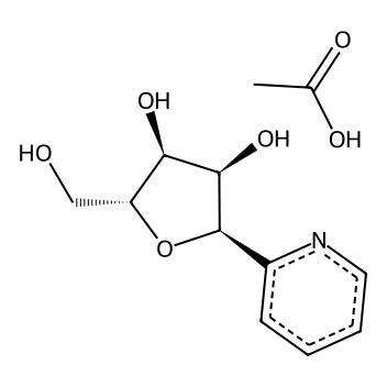 CC(=O)O.OC[C@H]1O[C@H](c2ccccn2)[C@H](O)[C@@H]1O